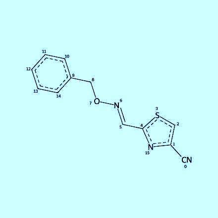 N#Cc1csc(C=NOCc2ccccc2)n1